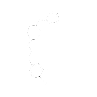 Oc1ccc(OCCN2CCC(Cc3ccc(F)cc3)CC2)cc1F